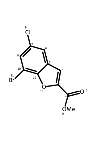 COC(=O)c1cc2cc(Cl)cc(Br)c2o1